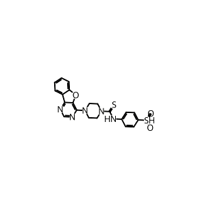 O=[SH](=O)c1ccc(NC(=S)N2CCN(c3ncnc4c3oc3ccccc34)CC2)cc1